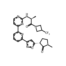 C[C@H](Nc1nccc(-c2cccc(-c3cc([C@@H]4CCN(C)C4=O)on3)n2)n1)C(=O)N1CC(C(F)(F)F)C1